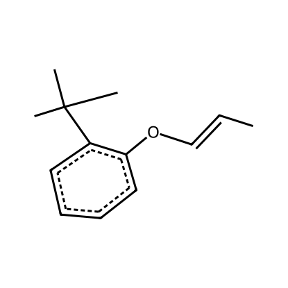 CC=COc1ccccc1C(C)(C)C